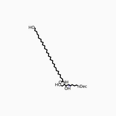 CCCCCCCCCCCCC/C=C/C(O)C(CO)NC(=O)CCCCCCCCCCCCCCCCCCCCCCCCCCCCCO